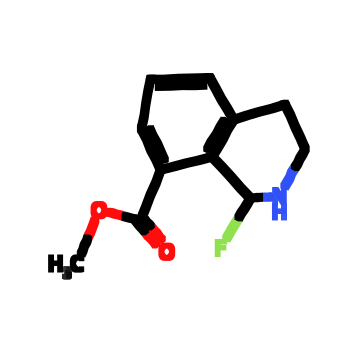 COC(=O)c1cccc2c1C(F)NCC2